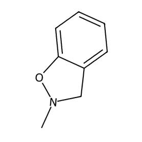 CN1Cc2ccccc2O1